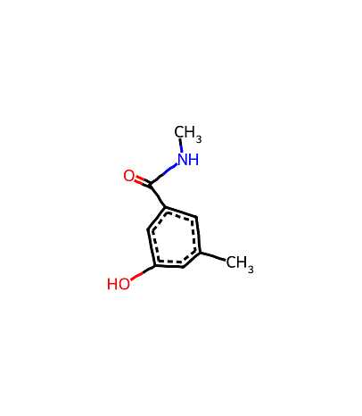 CNC(=O)c1cc(C)cc(O)c1